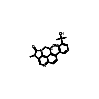 CO[C@@H]1Cn2c(=O)n(C)c3cnc4ccc(-c5cncc(C(C)(C)O)c5)c1c4c32